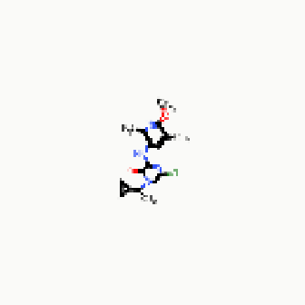 [CH2][C@@H](C1CC1)n1cc(Cl)nc(Nc2cc(C)c(OC)nc2C)c1=O